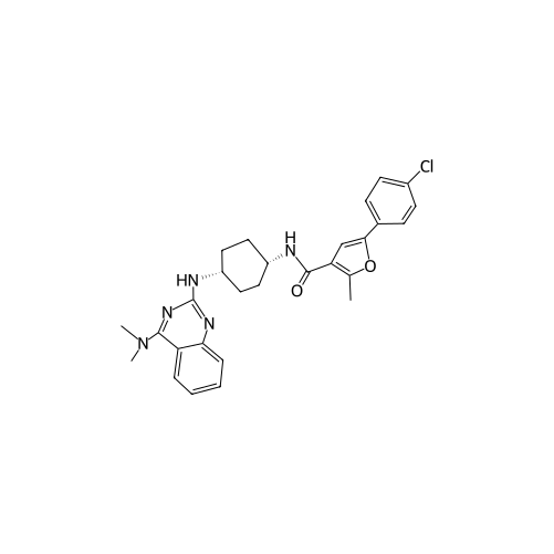 Cc1oc(-c2ccc(Cl)cc2)cc1C(=O)N[C@H]1CC[C@@H](Nc2nc(N(C)C)c3ccccc3n2)CC1